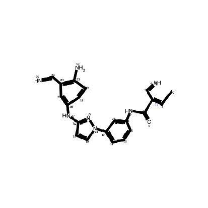 C/C=C(\C=N)C(=O)Nc1cccc(-n2ccc(Nc3ccc(N)c(C=N)c3)n2)c1